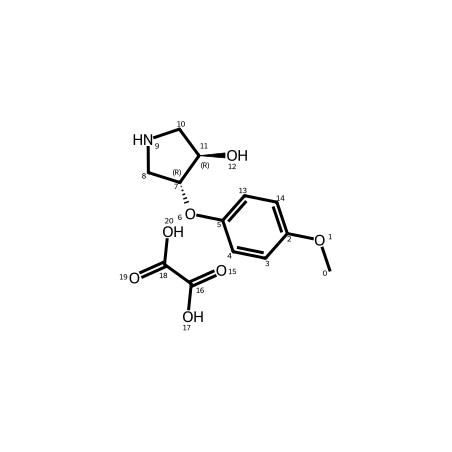 COc1ccc(O[C@@H]2CNC[C@H]2O)cc1.O=C(O)C(=O)O